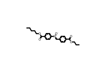 CCCCCOC(=O)c1ccc([N+]([O-])=Cc2ccc(C(=O)OCCC)cc2)cc1